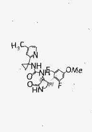 COc1cc(F)c([C@@H]2CNC(=O)[C@H]2NC(=O)NC2(c3cc(C)ccn3)CC2)c(F)c1